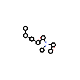 c1ccc(-c2cccc(-c3ccc(-c4cccc5c4oc4cccc(-c6nc(-c7ccccc7)nc(-c7cccc8oc9ccccc9c78)n6)c45)cc3)c2)cc1